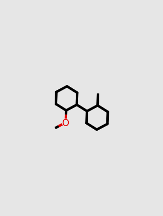 COC1CCCCC1C1CCCCC1C